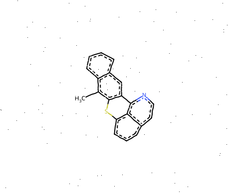 Cc1c2c(cc3ccccc13)-c1nccc3cccc(c13)S2